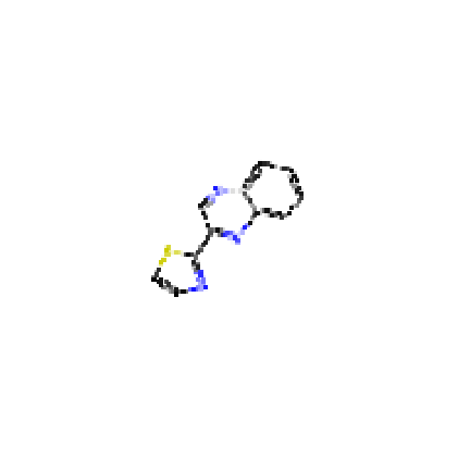 c1ccc2nc(-c3nccs3)cnc2c1